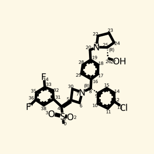 CS(=O)(=O)C(=C1CN([C@@H](c2ccc(Cl)cc2)c2ccc(CN3CCC[C@@H]3CO)cc2)C1)c1cc(F)cc(F)c1